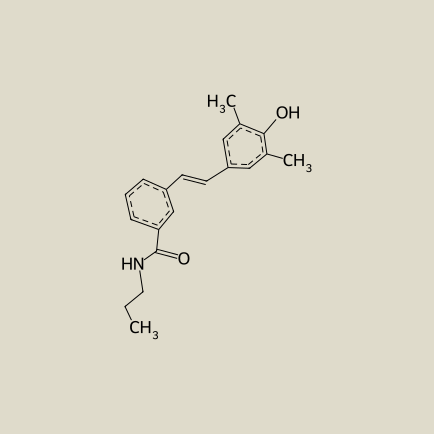 CCCNC(=O)c1cccc(C=Cc2cc(C)c(O)c(C)c2)c1